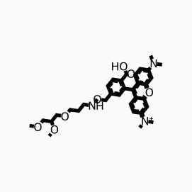 COCC(COCCCNOCc1ccc(C(=O)O)c(-c2c3ccc(=[N+](C)C)cc-3oc3cc(N(C)C)ccc23)c1)OC